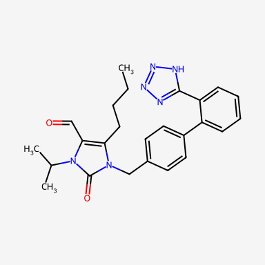 CCCCc1c(C=O)n(C(C)C)c(=O)n1Cc1ccc(-c2ccccc2-c2nnn[nH]2)cc1